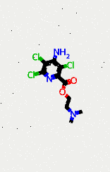 CN(C)CCOC(=O)c1nc(Cl)c(Cl)c(N)c1Cl